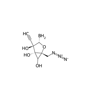 B[C@@H]1O[C@]2(CN=[N+]=[N-])C(O)[C@@]2(O)[C@]1(O)C#C